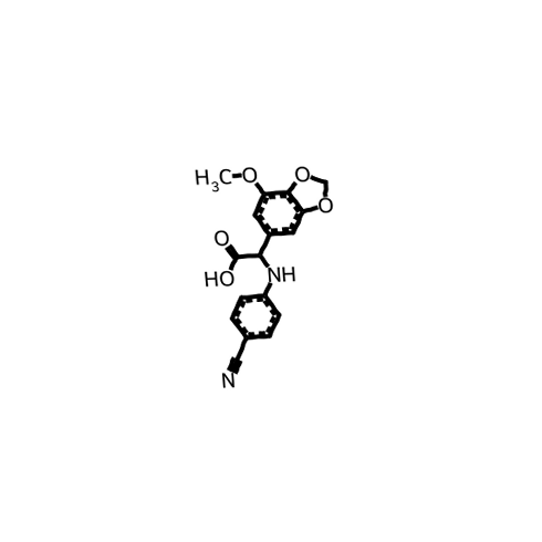 COc1cc(C(Nc2ccc(C#N)cc2)C(=O)O)cc2c1OCO2